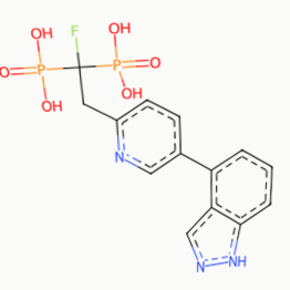 O=P(O)(O)C(F)(Cc1ccc(-c2cccc3[nH]ncc23)cn1)P(=O)(O)O